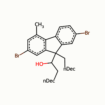 CCCCCCCCCCCC(O)C1(CCCCCCCCCCC)c2cc(Br)ccc2-c2c(C)cc(Br)cc21